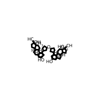 C#C[C@]1(O)CC[C@H]2[C@@H]3CCc4cc(O)cc(C5CCC(OC6CCC(c7cc(O)cc8c7[C@H]7CCC9(C)[C@@H](CC[C@@]9(O)C#C)[C@@H]7CC8)C6)C5)c4[C@H]3CCC21C